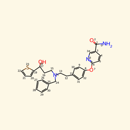 NC(=O)c1ccc(Oc2ccc(CCN(CCC(O)c3cccs3)Cc3ccccc3)cc2)nc1